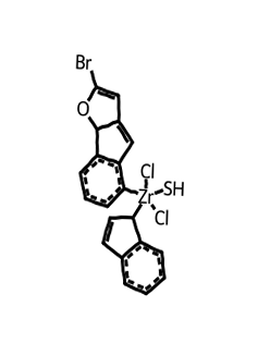 [SH][Zr]([Cl])([Cl])([c]1cccc2c1C=C1C=C(Br)OC12)[CH]1C=Cc2ccccc21